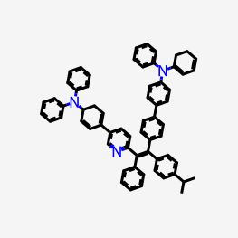 CC(C)c1ccc(/C(=C(\c2ccccc2)c2ccc(C3=CCC(N(c4ccccc4)c4ccccc4)C=C3)cn2)c2ccc(-c3ccc(N(C4=CC=CCC4)c4ccccc4)cc3)cc2)cc1